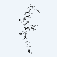 Cc1ncsc1-c1ccc([C@H](C)NC(=O)[C@@H]2C[C@@H](O)CN2C(=O)[C@@H](NC(=O)COCCCN)C(C)(C)C)cc1.Cl